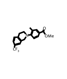 COC(=O)c1ccc(N2CCc3ccc(C(F)(F)F)cc3C2)c(C)c1